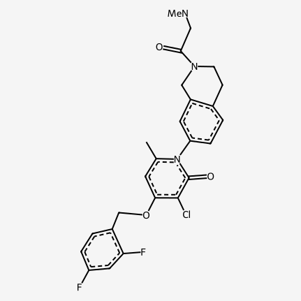 CNCC(=O)N1CCc2ccc(-n3c(C)cc(OCc4ccc(F)cc4F)c(Cl)c3=O)cc2C1